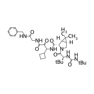 CC(C)(C)NC(=O)N[C@H](C(=O)N1C[C@H]2[C@@H]([C@H]1C(=O)NC(C(=O)C(=O)NCC(=O)NCc1ccccc1)C1CCC1)C2(C)C)C(C)(C)C